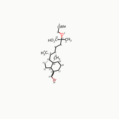 COCO[C@](C)(CCC[C@@H](C)[C@H]1CCC2/C(=C/Br)CCC[C@@]21C)C(=O)O